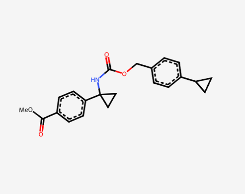 COC(=O)c1ccc(C2(NC(=O)OCc3ccc(C4CC4)cc3)CC2)cc1